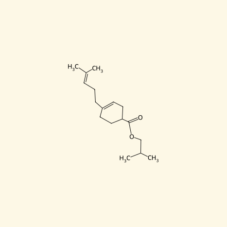 CC(C)=CCCC1=CCC(C(=O)OCC(C)C)CC1